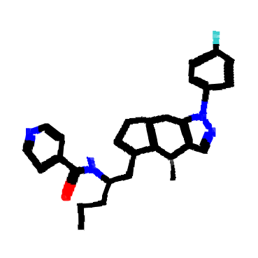 CCCC(C[C@H]1CCC2=C1[C@@H](C)c1cnn(-c3ccc(F)cc3)c1C2)NC(=O)c1ccncc1